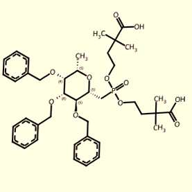 C[C@@H]1O[C@H](CP(=O)(OCCC(C)(C)C(=O)O)OCCC(C)(C)C(=O)O)[C@@H](OCc2ccccc2)[C@H](OCc2ccccc2)[C@@H]1OCc1ccccc1